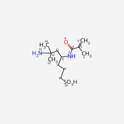 C=C(C)C(=O)NC(CCCS(=O)(=O)O)CC(C)(C)N